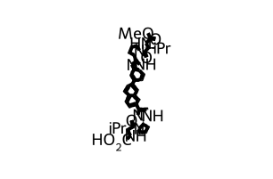 COC(=O)N[C@H](C(=O)N1CCCC1c1nc2cc(-c3ccc4ccc(-c5c[nH]c([C@@H]6CCCN6C(=O)[C@@H](NC(=O)O)C(C)C)n5)cc4c3)ccc2[nH]1)C(C)C